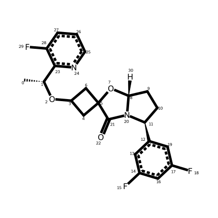 C[C@@H](OC1CC2(C1)O[C@@H]1CC[C@@H](c3cc(F)cc(F)c3)N1C2=O)c1ncccc1F